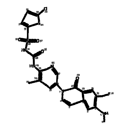 CNc1cc2ccn(-c3cnc(NC(=O)NS(=O)(=O)c4ccc(Cl)s4)c(C)c3)c(=O)c2cc1F